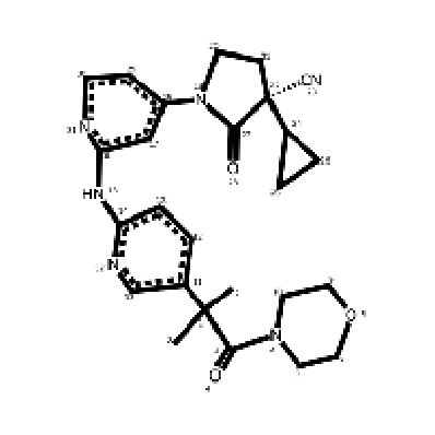 CC(C)(C(=O)N1CCOCC1)c1ccc(Nc2cc(N3CC[C@@](C#N)(C4CC4)C3=O)ccn2)nc1